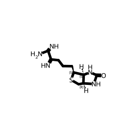 N=C(N)C(=N)CCC[C@@H]1SC[C@@H]2NC(=O)N[C@@H]21